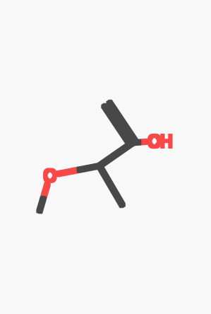 C=C(O)C(C)OC